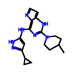 CC1CCN(c2nc(Nc3cc(C4CC4)n[nH]3)c3nccc-3[nH]2)CC1